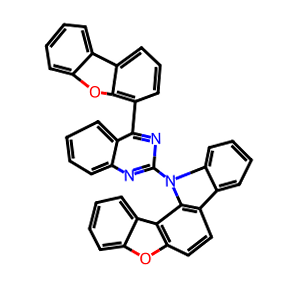 c1ccc2c(-c3cccc4c3oc3ccccc34)nc(-n3c4ccccc4c4ccc5oc6ccccc6c5c43)nc2c1